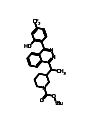 CC(c1nnc(-c2ccc(C(F)(F)F)cc2O)c2ccccc12)C1CCCN(C(=O)OC(C)(C)C)C1